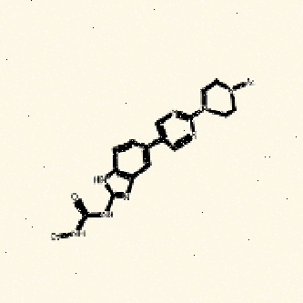 CCNC(=O)Nc1nc2cc(-c3cnc(N4CCN(C(C)=O)CC4)nc3)ccc2[nH]1